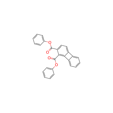 O=C(Oc1ccccc1)c1ccc2c(c1C(=O)Oc1ccccc1)-c1ccccc1-2